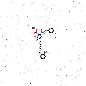 CC(C)(C)OC(=O)N1[C@H](C(=O)OCc2ccccc2)C[C@@]2(CCCCC[Se]c3ccccc3[N+](=O)[O-])C[C@@H]12